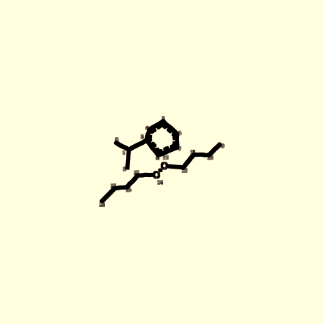 CC(C)c1ccccc1.CCCCOOCCCC